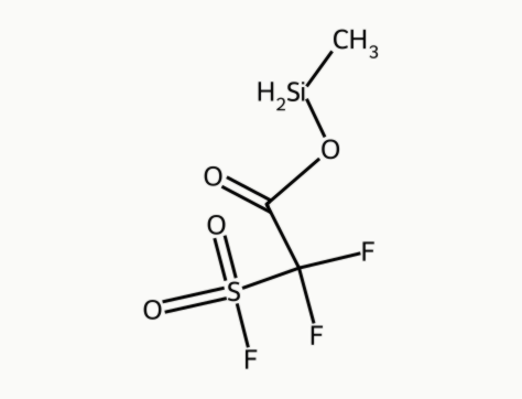 C[SiH2]OC(=O)C(F)(F)S(=O)(=O)F